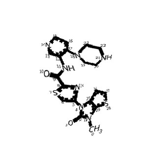 Cn1c(=O)n(-c2csc(C(=O)Nc3cnccc3N3CCNCC3)n2)c2ccsc21